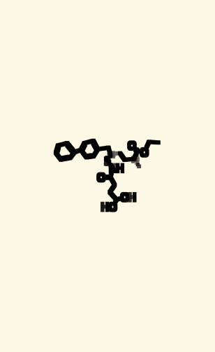 CCOC(=O)[C@H](C)CC[C@@H](Cc1ccc(-c2ccccc2)cc1)SNC(=O)CCC(O)O